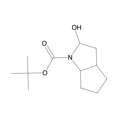 CC(C)(C)OC(=O)N1C(O)CC2CCCC21